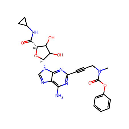 CN(CC#Cc1nc(N)c2ncn([C@@H]3O[C@H](C(=O)NC4CC4)C(O)C3O)c2n1)C(=O)Oc1ccccc1